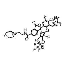 O=C(NCCN1CCOCC1)c1ccc2c(c1)C(=O)OC21c2cc(F)c(OS(=O)(=O)C(F)(F)F)c(F)c2Oc2c1cc(F)c(OS(=O)(=O)C(F)(F)F)c2F